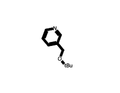 CC(C)(C)OCc1cccnc1